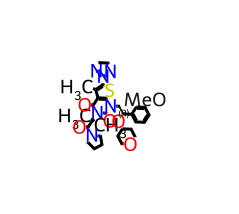 COc1ccccc1[C@H](Cn1c(=O)n(C(C)(C)C(=O)N2CCCC2)c(=O)c2c(C)c(-n3nccn3)sc21)OC1CCOCC1